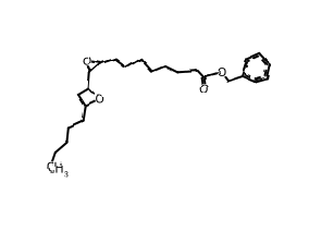 CCCCCC1CC(C2OC2CCCCCCCC(=O)OCc2ccccc2)O1